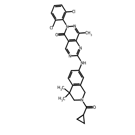 Cc1nn(-c2c(Cl)cccc2Cl)c(=O)c2cnc(Nc3ccc4c(c3)CN(C(=O)C3CC3)CC4(C)C)nc12